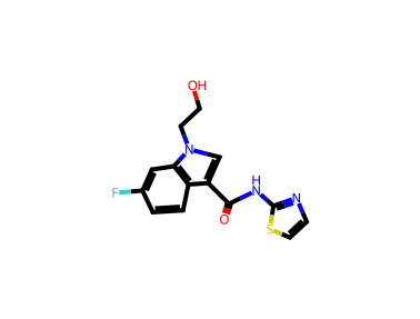 O=C(Nc1nccs1)c1cn(CCO)c2cc(F)ccc12